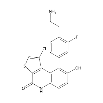 NCCc1ccc(-c2c(O)ccc3[nH]c(=O)c4scc(Cl)c4c23)cc1F